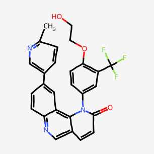 Cc1ccc(-c2ccc3ncc4ccc(=O)n(-c5ccc(OCCO)c(C(F)(F)F)c5)c4c3c2)cn1